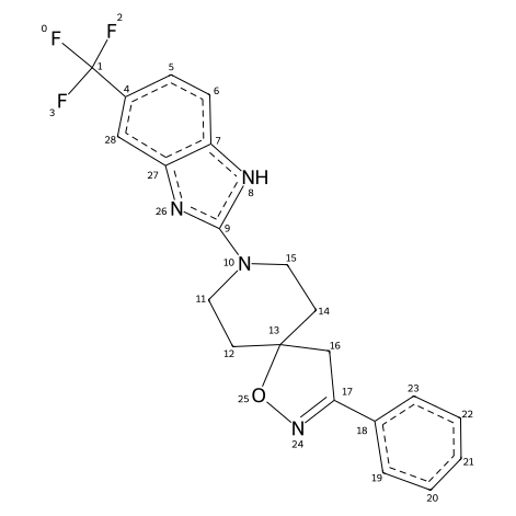 FC(F)(F)c1ccc2[nH]c(N3CCC4(CC3)CC(c3ccccc3)=NO4)nc2c1